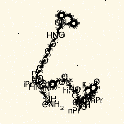 CCCC1O[C@@H]2C[C@@H]([C@@H]3C[C@H](F)C4=CC(=O)C=C[C@]4(C)[C@@]3(F)[C@@H](O)CCC)C[C@]2(C(=O)COC(=O)NCCN(C)C(=O)OCc2ccc(NC(=O)[C@H](CCCNC(N)=O)NC(=O)[C@@H](NC(=O)CCOCCOCCOCCOCCNC(=O)CCC(=O)N3Cc4ccccc4C#Cc4ccccc43)C(C)C)cc2)O1